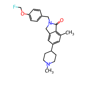 Cc1cc(C2CCN(C)CC2)cc2c1C(=O)N(Cc1ccc(OCF)cc1)C2